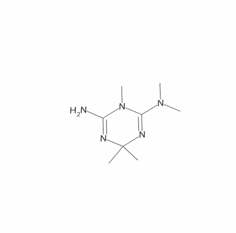 CN(C)C1=NC(C)(C)N=C(N)N1C